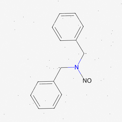 O=NN([CH]c1ccccc1)[CH]c1ccccc1